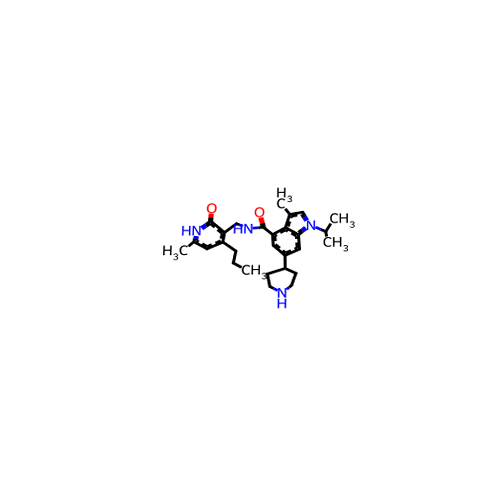 CCCc1cc(C)[nH]c(=O)c1CNC(=O)c1cc(C2CCNCC2)cc2c1c(C)cn2C(C)C